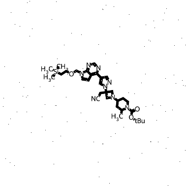 CC1CC(N2CC(CC#N)(n3cc(-c4ncnc5c4ccn5COCC[Si](C)(C)C)cn3)C2)CCN1C(=O)OC(C)(C)C